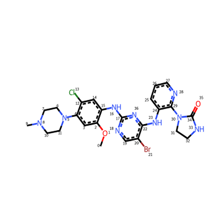 COc1cc(N2CCN(C)CC2)c(Cl)cc1Nc1ncc(Br)c(Nc2cccnc2N2CCNC2=O)n1